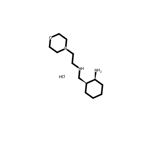 Cl.N[C@H]1CCCC[C@H]1CNCCN1CCOCC1